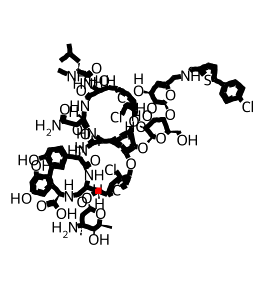 CN[C@H](CC(C)C)C(=O)N[C@H]1C(=O)N[C@@H](CC(N)=O)C(=O)N[C@H]2C(=O)N[C@H]3C(=O)N[C@H](C(=O)N[C@@H](C(=O)O)c4cc(O)cc(O)c4-c4cc3ccc4O)[C@H](O[C@H]3C[C@](C)(N)[C@@H](O)[C@H](C)O3)c3ccc(c(Cl)c3)Oc3cc2cc(c3O[C@@H]2O[C@H](CO)[C@@H](O[C@@H]3OC(CNCc4ccc(-c5ccc(Cl)cc5)s4)=C[C@H](O)[C@H]3O)[C@H](O)[C@H]2O)Oc2ccc(cc2Cl)[C@H]1O